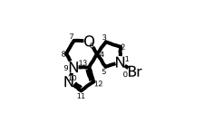 BrN1CCC2(C1)OCCn1nccc12